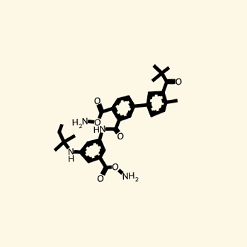 CCC(C)(C)Nc1cc(NC(=O)c2cc(-c3ccc(C)c(C(=O)C(C)(C)C)c3)ccc2C(=O)ON)cc(C(=O)ON)c1